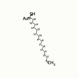 CCCCCCCCCCCCCCCCC[CH](S)[Au]